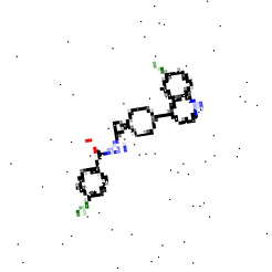 O=C(NC1CC12CCC(c1ccnc3ccc(F)cc13)CC2)c1ccc(Cl)cc1